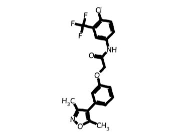 Cc1noc(C)c1-c1cccc(OCC(=O)Nc2ccc(Cl)c(C(F)(F)F)c2)c1